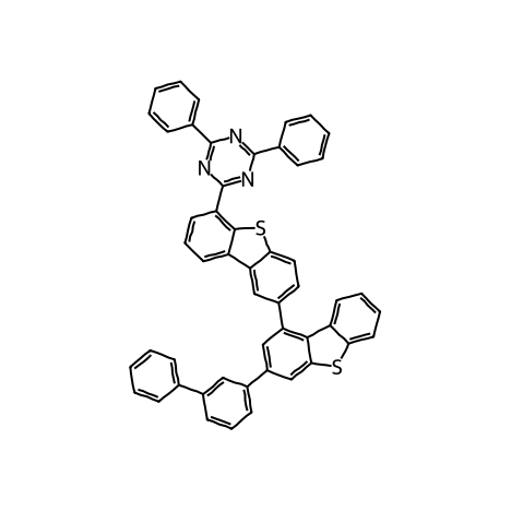 c1ccc(-c2cccc(-c3cc(-c4ccc5sc6c(-c7nc(-c8ccccc8)nc(-c8ccccc8)n7)cccc6c5c4)c4c(c3)sc3ccccc34)c2)cc1